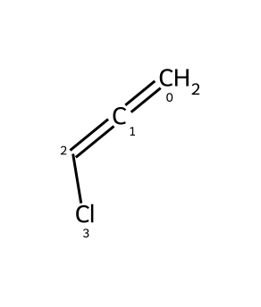 C=C=CCl